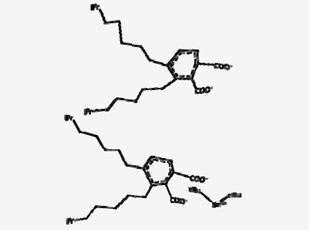 CC(C)CCCCCc1ccc(C(=O)[O-])c(C(=O)[O-])c1CCCCCC(C)C.CC(C)CCCCCc1ccc(C(=O)[O-])c(C(=O)[O-])c1CCCCCC(C)C.CCC[CH2][Sn+4][CH2]CCC